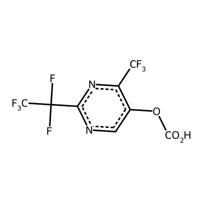 O=C(O)Oc1cnc(C(F)(F)C(F)(F)F)nc1C(F)(F)F